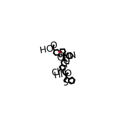 CN1CCN(C(OC2CCC(C(=O)O)CC2)(C(=O)Cc2cc(Cl)c(NC(=O)c3csc4ccccc34)cc2F)N2CCCC2)CC1